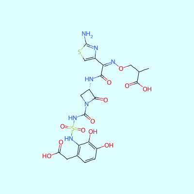 CC(CO/N=C(\C(=O)N[C@H]1CN(C(=O)NS(=O)(=O)Nc2c(CC(=O)O)ccc(O)c2O)C1=O)c1csc(N)n1)C(=O)O